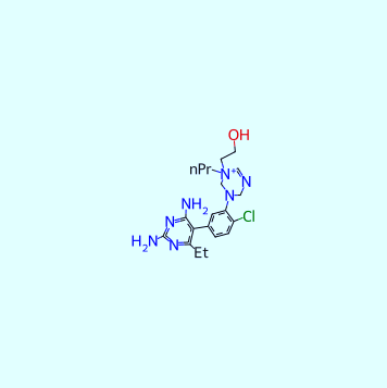 CCC[N+]1(CCO)C=NCN(c2cc(-c3c(N)nc(N)nc3CC)ccc2Cl)C1